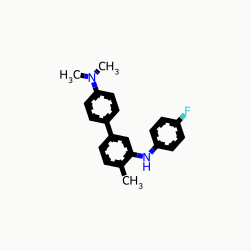 Cc1ccc(-c2ccc(N(C)C)cc2)cc1Nc1ccc(F)cc1